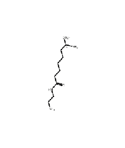 NCCNC(=O)CCCCC[C@H](N)C(=O)O